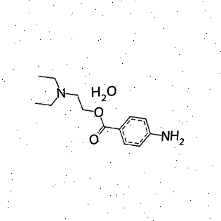 CCN(CC)CCOC(=O)c1ccc(N)cc1.O